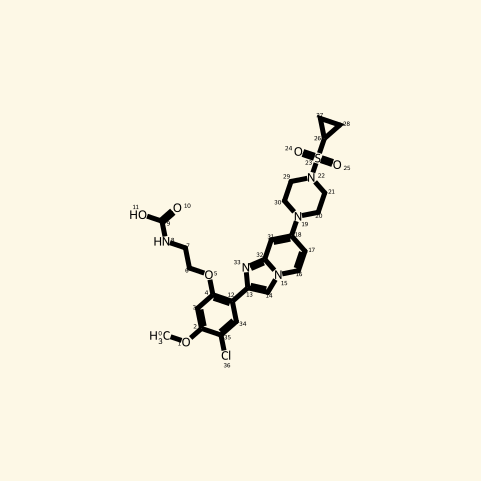 COc1cc(OCCNC(=O)O)c(-c2cn3ccc(N4CCN(S(=O)(=O)C5CC5)CC4)cc3n2)cc1Cl